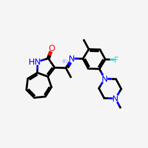 C/C(=N\c1cc(N2CCN(C)CC2)c(F)cc1C)c1c2cccccc-2[nH]c1=O